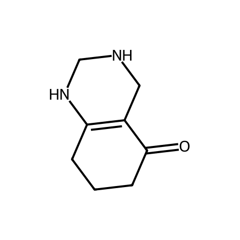 O=C1CCCC2=C1CNCN2